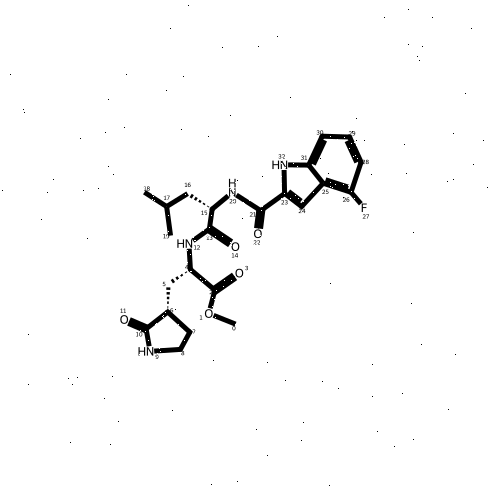 COC(=O)[C@H](C[C@@H]1CCNC1=O)NC(=O)[C@H](CC(C)C)NC(=O)c1cc2c(F)cccc2[nH]1